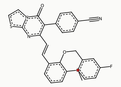 COc1cccc(C=Cc2nc3sccn3c(=O)c2-c2ccc(C#N)cc2)c1OCc1cccc(F)c1